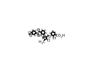 CCc1c(OCc2c(Cl)c(C)nn2-c2cccc(C(=O)N(C)c3ccc4c(c3)OCO4)c2)cccc1C(=O)O